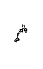 CC(/C=C/[C@@H]1C[C@]2(CO2)CC(C)(C)O1)=C\C[C@H]1OC[C@@H](NC(=O)/C=C\[C@H](C)O)CO1